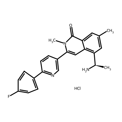 Cc1cc([C@@H](C)N)c2cc(-c3ccc(-c4ccc(F)cc4)nc3)n(C)c(=O)c2c1.Cl